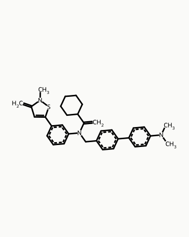 C=C1C=C(c2cccc(N(Cc3ccc(-c4ccc(N(C)C)cc4)cc3)C(=C)C3CCCCC3)c2)SN1C